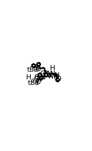 Cc1cccc2c1N(C(=O)OC(C)(C)C)CCN2c1cc2cnc(Nc3cnn(C4CCCCO4)c3)nc2n(CC/C=C\CCO[Si](c2ccccc2)(c2ccccc2)C(C)(C)C)c1=O